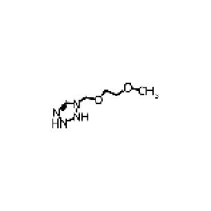 COCCOCN1[C]=NNN1